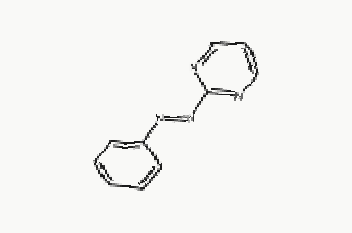 [c]1ccc(N=Nc2ncccn2)cc1